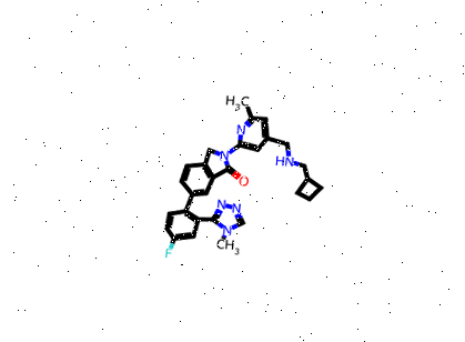 Cc1cc(CNCC2CCC2)cc(N2Cc3ccc(-c4ccc(F)cc4-c4nncn4C)cc3C2=O)n1